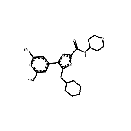 CC(C)(C)c1cc(-c2sc(C(=O)NC3CCOCC3)nc2CC2CCCCC2)cc(C(C)(C)C)n1